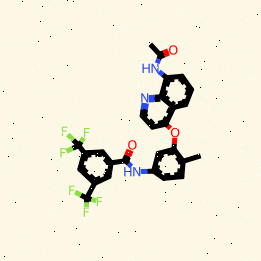 CC(=O)Nc1cccc2c(Oc3cc(NC(=O)c4cc(C(F)(F)F)cc(C(F)(F)F)c4)ccc3C)ccnc12